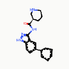 O=C(Nc1n[nH]c2ccc(-c3ccccc3)cc12)[C@@H]1CCCNC1